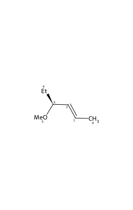 C/C=C/[C@H](CC)OC